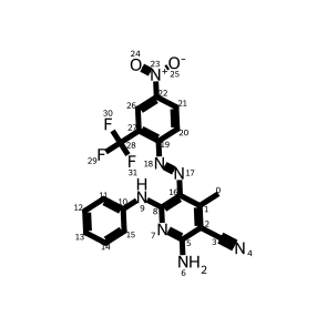 Cc1c(C#N)c(N)nc(Nc2ccccc2)c1/N=N/c1ccc([N+](=O)[O-])cc1C(F)(F)F